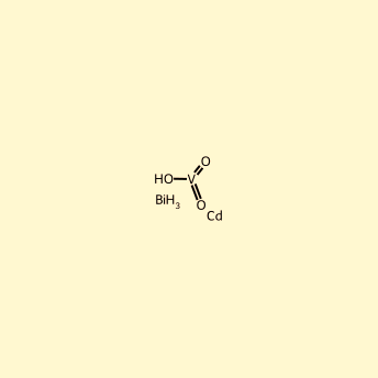 [BiH3].[Cd].[O]=[V](=[O])[OH]